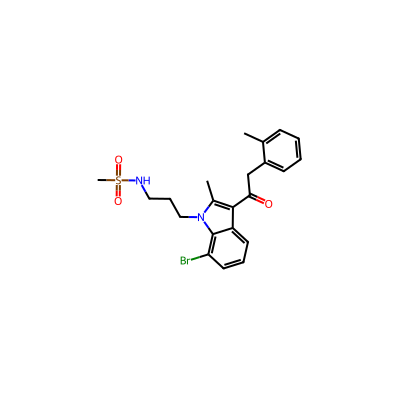 Cc1ccccc1CC(=O)c1c(C)n(CCCNS(C)(=O)=O)c2c(Br)cccc12